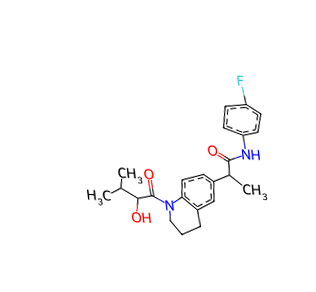 CC(C(=O)Nc1ccc(F)cc1)c1ccc2c(c1)CCCN2C(=O)C(O)C(C)C